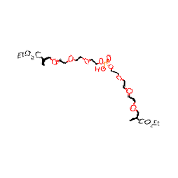 C=C(COCCOCCOCCOP(=O)(O)OCCOCCOCCOCC(=C)C(=O)OCC)C(=O)OCC